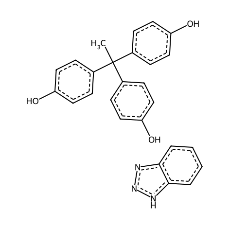 CC(c1ccc(O)cc1)(c1ccc(O)cc1)c1ccc(O)cc1.c1ccc2[nH]nnc2c1